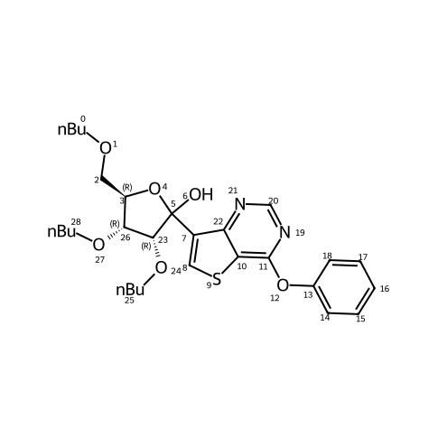 CCCCOC[C@H]1OC(O)(c2csc3c(Oc4ccccc4)ncnc23)[C@H](OCCCC)[C@@H]1OCCCC